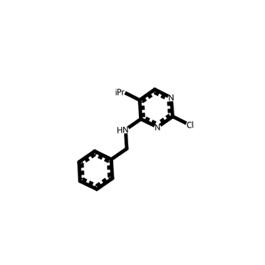 CC(C)c1cnc(Cl)nc1NCc1ccccc1